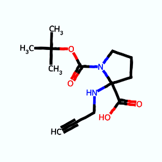 C#CCNC1(C(=O)O)CCCN1C(=O)OC(C)(C)C